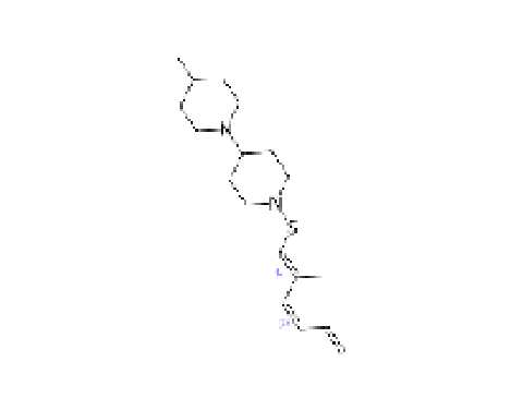 C=C/C=C\C(C)=C\SN1CCC(N2CCC(C)CC2)CC1